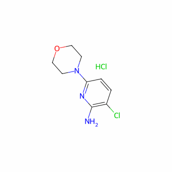 Cl.Nc1nc(N2CCOCC2)ccc1Cl